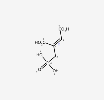 O=C(O)/C=C(/CP(=O)(O)O)C(=O)O